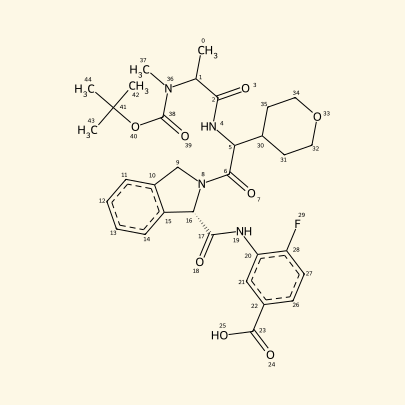 CC(C(=O)NC(C(=O)N1Cc2ccccc2[C@H]1C(=O)Nc1cc(C(=O)O)ccc1F)C1CCOCC1)N(C)C(=O)OC(C)(C)C